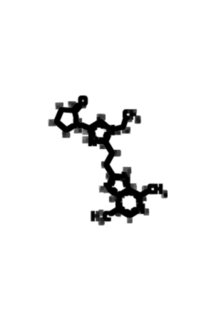 Cc1ncc(C)n2nc(CCc3nc(N4CCCC4=O)cn3CC(F)(F)F)nc12